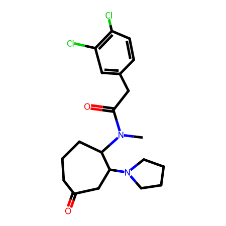 CN(C(=O)Cc1ccc(Cl)c(Cl)c1)C1CCCC(=O)CC1N1CCCC1